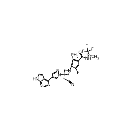 C[C@H](NC(=O)c1cc(F)c(N2CC(CC#N)(n3cc(-c4ncnc5[nH]ccc45)cn3)C2)cc1P)C(F)(F)F